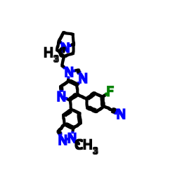 CN1C2CCC1CC(Cn1cnc3c(-c4ccc(C#N)c(F)c4)c(-c4ccc5c(cnn5C)c4)ncc31)C2